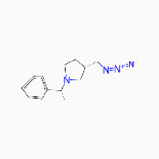 C[C@H](c1ccccc1)N1CC[C@H](CN=[N+]=[N-])C1